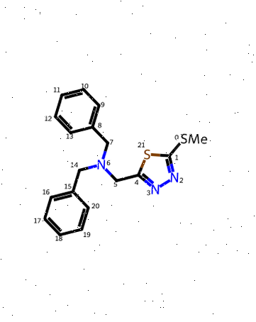 CSc1nnc(CN(Cc2ccccc2)Cc2ccccc2)s1